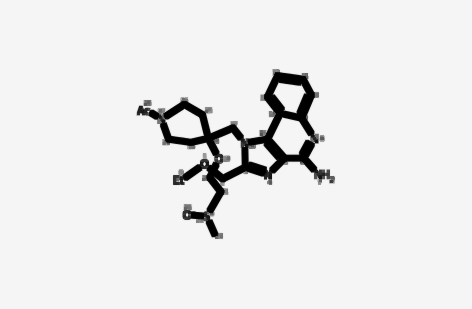 CCOCc1nc2c(N)nc3ccccc3c2n1CC1(OCC[S+](C)[O-])CCN(C(C)=O)CC1